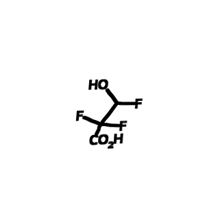 O=C(O)C(F)(F)C(O)F